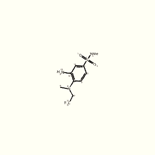 CNS(=O)(=O)c1ccc(N(C)CC(F)(F)F)c(N)c1